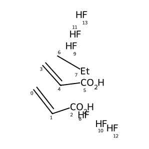 C=CC(=O)O.C=CC(=O)O.CCC.F.F.F.F.F.F